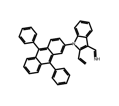 C=Cc1c(C=N)c2ccccc2n1-c1ccc2c(-c3ccccc3)c3ccccc3c(-c3ccccc3)c2c1